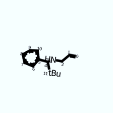 C=CCNC(c1ccccc1)C(C)(C)C